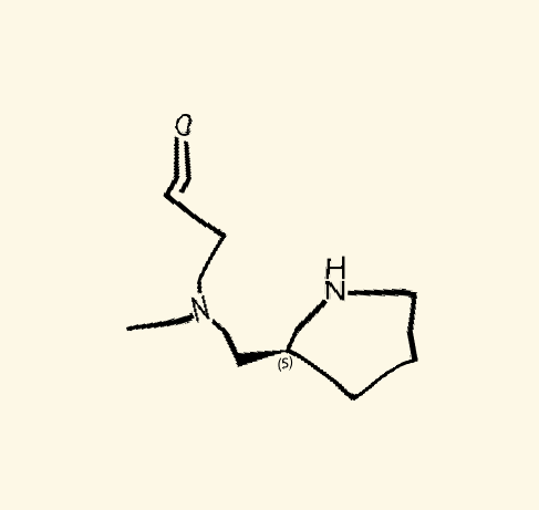 CN(CC=O)C[C@@H]1CCCN1